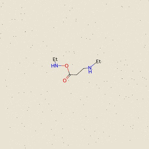 CCNCCC(=O)ONCC